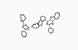 c1ccc(C2=NC3c4ccccc4SC3C(c3cccc4c3sc3ccc(-c5nc(-c6ccccc6)nc(-c6ccccc6)n5)cc34)=N2)cc1